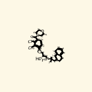 CC(C)(Cc1ccc2ccccc2c1)NC[C@@H](O)COc1ccc(C(=O)N2CCOCC2)c(Cl)c1Cl